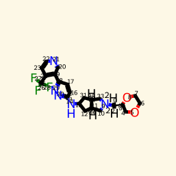 [2H]C([2H])([C@@H]1COCCO1)N1C[C@H]2CC(Nc3ccc(-c4cnccc4C(F)(F)F)nn3)C[C@H]2C1